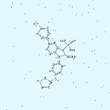 O=C(O)C1C(P(=O)(O)O)c2cc(-c3ccc(C(F)(F)F)cc3)ccc2N1c1ccc(OC2CCCC2)cc1